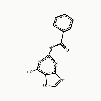 O=C(Nc1nc(O)c2c(n1)[N+]=CN2)c1ccccc1